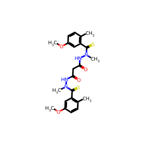 COc1ccc(C)c(C(=S)N(C)NC(=O)CC(=O)NN(C)C(=S)c2cc(OC)ccc2C)c1